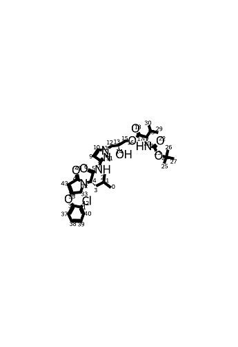 CC(C)C[C@@H](C(=O)Nc1ccn(C[C@@H](O)COC(=O)[C@@H](NC(=O)OC(C)(C)C)C(C)C)n1)N1CC(Oc2ccccc2Cl)=CC1=O